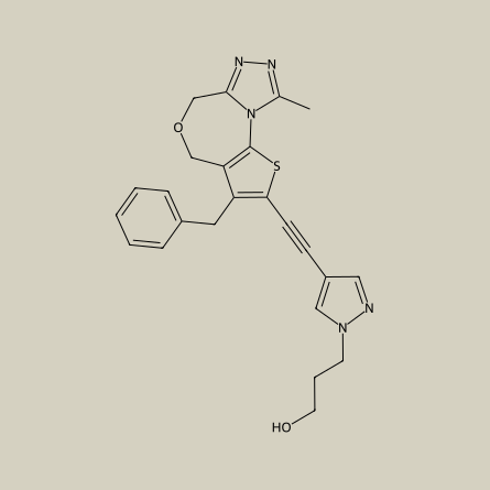 Cc1nnc2n1-c1sc(C#Cc3cnn(CCCO)c3)c(Cc3ccccc3)c1COC2